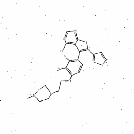 Cc1c(-c2c(-c3ccsc3)sc3ncnc(Cl)c23)ccc(OCCN2CCN(C)CC2)c1Cl